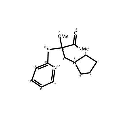 CNC(=O)C(CN1CCCC1)(OC)Sc1ccccn1